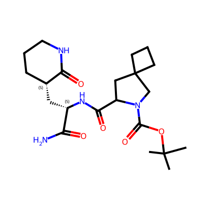 CC(C)(C)OC(=O)N1CC2(CCC2)CC1C(=O)N[C@@H](C[C@@H]1CCCNC1=O)C(N)=O